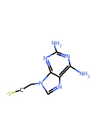 Nc1nc(N)c2ncn(CC[S])c2n1